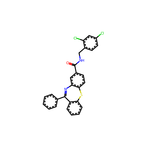 O=C(NCc1ccc(Cl)cc1Cl)c1ccc2c(c1)N=C(c1ccccc1)c1ccccc1S2